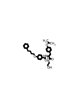 CC(C)Oc1ccc(C=C(NC(=O)c2ccc(OCCCCc3ccccc3)cc2)C(=O)NCCO)cc1